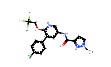 Cn1ccc(C(=O)Nc2cnc(OCC(F)(F)F)c(-c3ccc(Cl)cc3)c2)n1